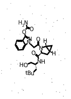 CC(C)(C)C[C@H](CO)NC(=O)[C@@H]1C[C@H]2C[C@H]2N1C(=O)Cn1nc(OC(N)=O)c2ccccc21